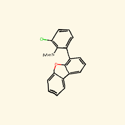 CSc1c(Cl)cccc1-c1cccc2c1oc1ccccc12